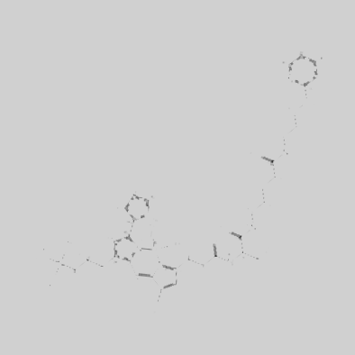 CC1=CC(CCC(=O)NC(CS(=O)(=O)O)C(=O)NCCCCC(=O)NCCSSc2ccccn2)=[N+]2C1=Cc1c(CCC[N+](C)(C)C)cc(-c3cccs3)n1[B-]2(F)F